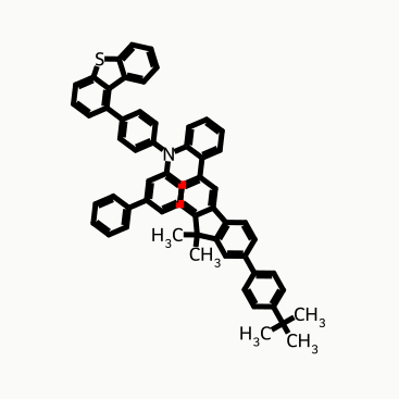 CC(C)(C)c1ccc(-c2ccc3c(c2)C(C)(C)c2ccc(-c4ccccc4N(c4ccc(-c5cccc6sc7ccccc7c56)cc4)c4cccc(-c5ccccc5)c4)cc2-3)cc1